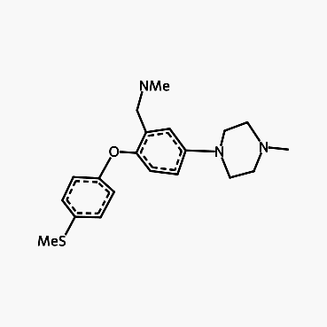 CNCc1cc(N2CCN(C)CC2)ccc1Oc1ccc(SC)cc1